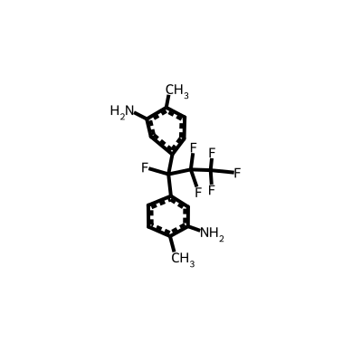 Cc1ccc(C(F)(c2ccc(C)c(N)c2)C(F)(F)C(F)(F)F)cc1N